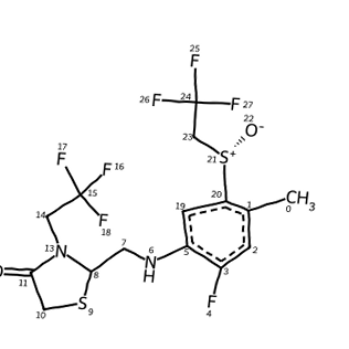 Cc1cc(F)c(NCC2SCC(=O)N2CC(F)(F)F)cc1[S@@+]([O-])CC(F)(F)F